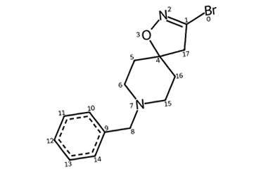 BrC1=NOC2(CCN(Cc3ccccc3)CC2)C1